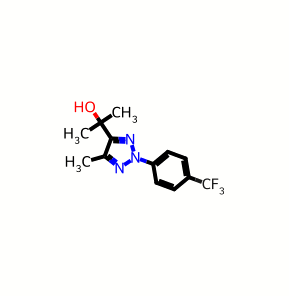 Cc1nn(-c2ccc(C(F)(F)F)cc2)nc1C(C)(C)O